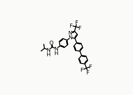 CC(C)NC(=O)Nc1ccc(-n2nc(C(F)(F)F)cc2-c2ccc(-c3ccc(C(F)(F)F)cc3)cc2)cc1